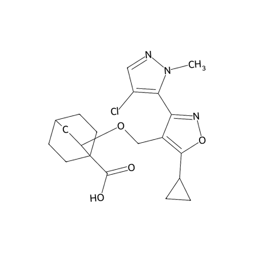 Cn1ncc(Cl)c1-c1noc(C2CC2)c1COC1CC2CCC1(C(=O)O)CC2